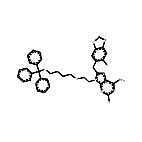 Nc1nc(F)nc2c1nc(Cc1cc3c(cc1I)OCO3)n2CCOCCCCOC(c1ccccc1)(c1ccccc1)c1ccccc1